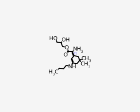 CCCCNC1=C/C(=C(/N)C(=O)OCC(O)CO)CC(C)(C)C1